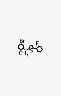 Cc1ccc(Br)cc1Cc1ccc(-c2ccccc2F)s1